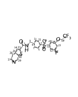 O=C(NCc1ccc(S(=O)(=O)c2cc(F)cc(OCC(F)(F)F)c2)cc1)c1cc2ccncc2s1